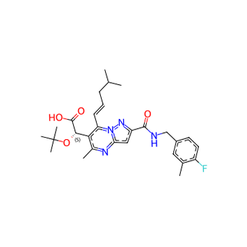 Cc1cc(CNC(=O)c2cc3nc(C)c([C@H](OC(C)(C)C)C(=O)O)c(C=CCC(C)C)n3n2)ccc1F